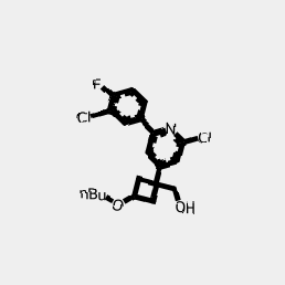 CCCCOC1CC(CO)(c2cc(Cl)nc(-c3ccc(F)c(Cl)c3)c2)C1